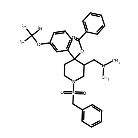 [2H]C([2H])([2H])Oc1cccc(C2(OC(=O)c3ccccc3)CCN(S(=O)(=O)Cc3ccccc3)CC2CN(C)C)c1